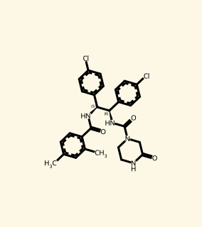 Cc1ccc(C(=O)N[C@@H](c2ccc(Cl)cc2)[C@H](NC(=O)N2CCNC(=O)C2)c2ccc(Cl)cc2)c(C)c1